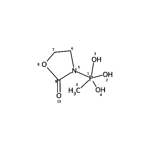 CP(O)(O)(O)N1CCOC1=O